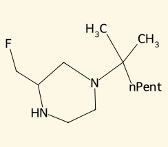 CCCCCC(C)(C)N1CCNC(CF)C1